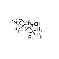 CCCSC(C)C(=NC(C)(C)C)C(C)(C)C